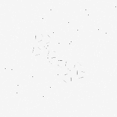 Nc1cc(N(c2ccccc2)c2cccc3ccccc23)ccc1-c1ccc(N(c2ccccc2)c2cccc3ccccc23)cc1